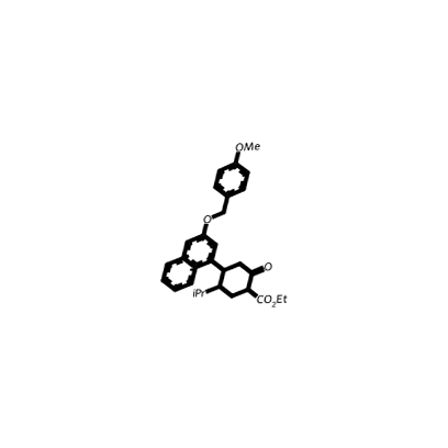 CCOC(=O)C1CC(C(C)C)C(c2cc(OCc3ccc(OC)cc3)cc3ccccc23)CC1=O